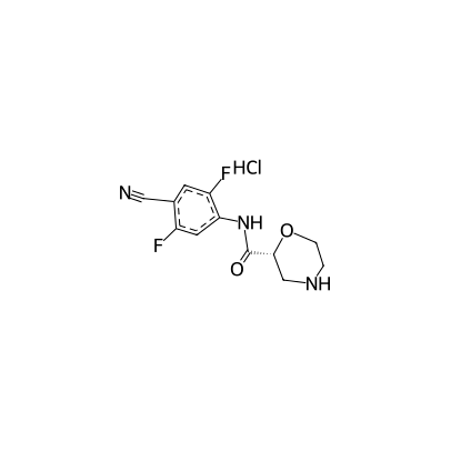 Cl.N#Cc1cc(F)c(NC(=O)[C@H]2CNCCO2)cc1F